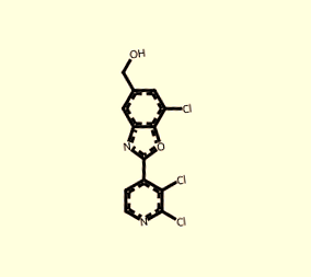 OCc1cc(Cl)c2oc(-c3ccnc(Cl)c3Cl)nc2c1